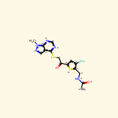 Cn1ncc2c(SCC(=O)c3cc(F)c(CNC(=O)C(C)(C)C)s3)ncnc21